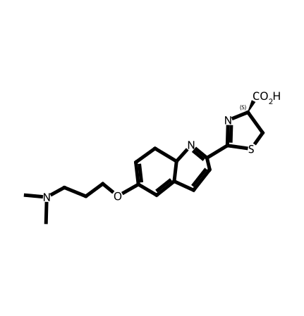 CN(C)CCCOC1=CCC2N=C(C3=N[C@@H](C(=O)O)CS3)C=CC2=C1